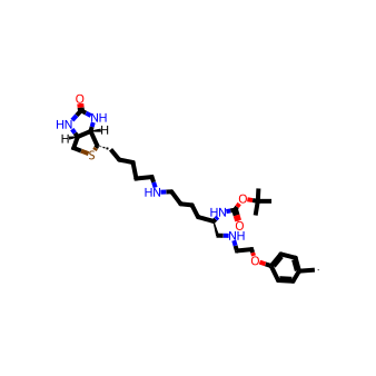 [CH2]c1ccc(OCCNC[C@@H](CCCCNCCCCC[C@@H]2SC[C@@H]3NC(=O)N[C@@H]32)NC(=O)OC(C)(C)C)cc1